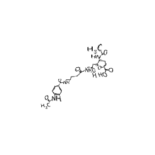 CC(=O)Nc1ccc(C(=O)NCCCCC(=O)NC[C@@H](O)C[C@@H]2OC(C(=O)O)=CC[C@H]2NC(C)=O)cc1